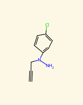 C#CCN(N)c1ccc(Cl)cc1